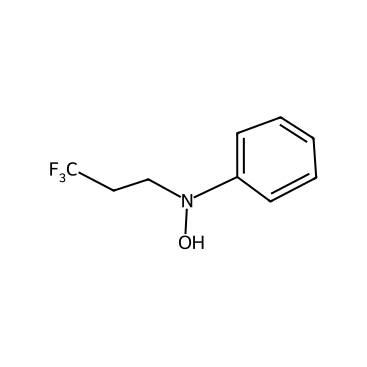 ON(CCC(F)(F)F)c1ccccc1